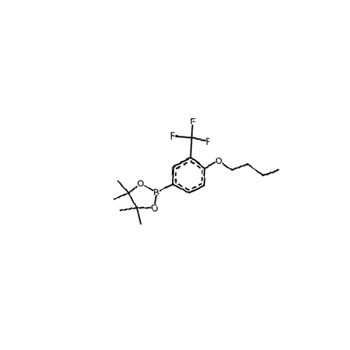 CCCCOc1ccc(B2OC(C)(C)C(C)(C)O2)cc1C(F)(F)F